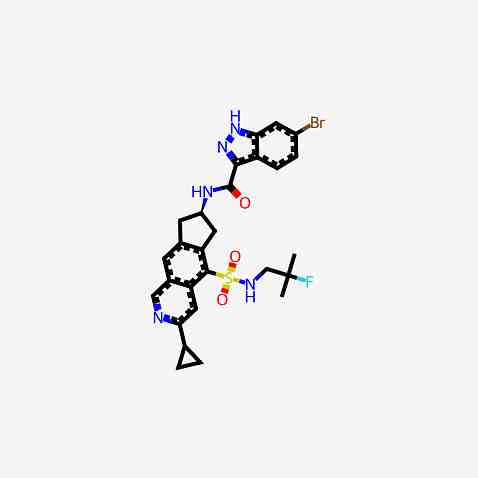 CC(C)(F)CNS(=O)(=O)c1c2c(cc3cnc(C4CC4)cc13)C[C@@H](NC(=O)c1n[nH]c3cc(Br)ccc13)C2